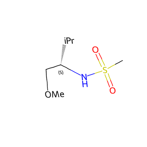 COC[C@@H](NS(C)(=O)=O)C(C)C